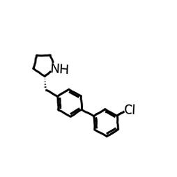 Clc1cccc(-c2ccc(C[C@@H]3CCCN3)cc2)c1